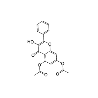 CC(=O)Oc1cc(OC(C)=O)c2c(=O)c(O)c(-c3ccccc3)oc2c1